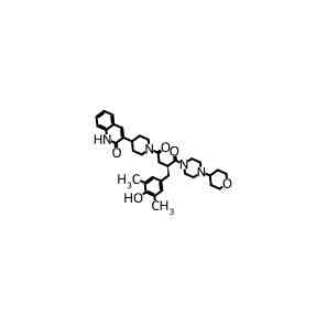 Cc1cc(C[C@@H](CC(=O)N2CCC(c3cc4ccccc4[nH]c3=O)CC2)C(=O)N2CCN(C3CCOCC3)CC2)cc(C)c1O